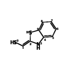 SC=C1Nc2ccccc2S1